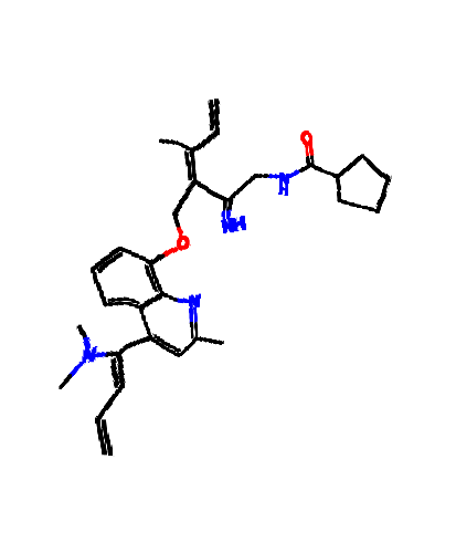 C=C/C=C(/c1cc(C)nc2c(OC/C(C(=N)CNC(=O)C3CCCC3)=C(\C)C=C)cccc12)N(C)C